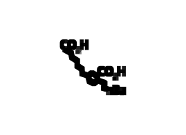 CCCC/C=C/C1C=CC(CCCCCCCC(=O)O)CC1C(=O)O